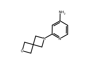 Nc1ccnc(N2CC3(COC3)C2)c1